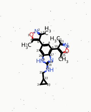 Cc1noc(C)c1-c1cc(-c2c(C)noc2C)c2nc(NCC3CC3)[nH]c2c1